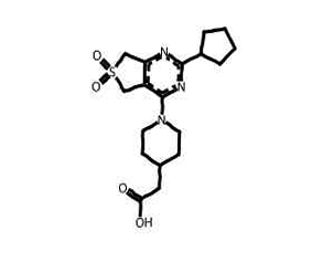 O=C(O)CC1CCN(c2nc(C3CCCC3)nc3c2CS(=O)(=O)C3)CC1